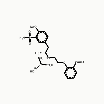 CC(C)[C@H](N)C(=O)O.CCOc1ccccc1OCCN[C@H](C)Cc1ccc(OC)c(S(N)(=O)=O)c1.Cl